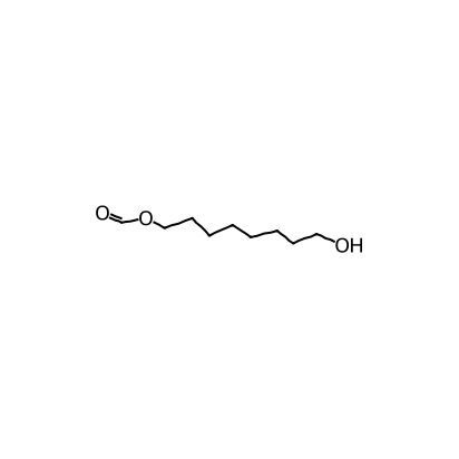 O=COCCCCCCCCO